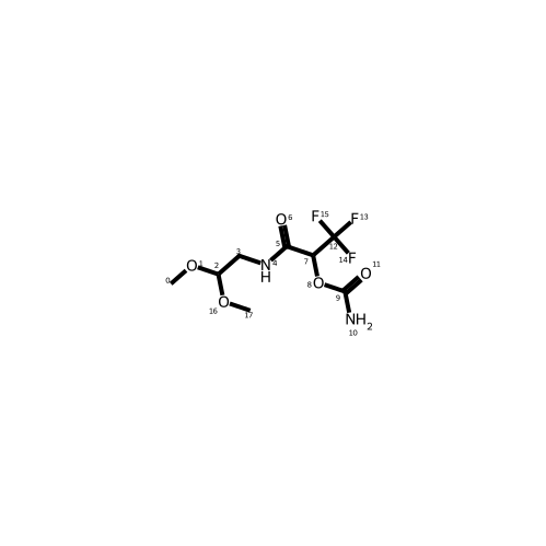 COC(CNC(=O)C(OC(N)=O)C(F)(F)F)OC